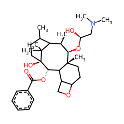 CC1CC[C@@]2(O)[C@@H](OC(=O)c3ccccc3)C3C4COC4CC[C@@]3(C)[C@H](O[C@@H](O)CN(C)C)C(C)C1C2(C)C